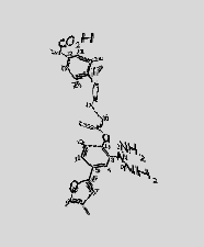 NN(N)c1cc(-c2ccco2)ccc1OCCCOc1ccc(CC(=O)O)cc1